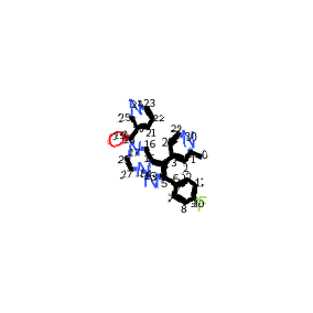 Cc1cc(-c2c(-c3ccc(F)cc3)nn3c2CN(C(=O)c2cccnc2)CC3)ccn1